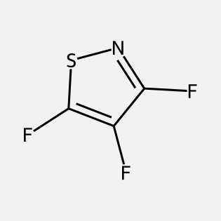 Fc1nsc(F)c1F